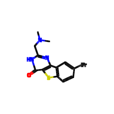 CC(C)c1ccc2sc3c(=O)[nH]c(CN(C)C)nc3c2c1